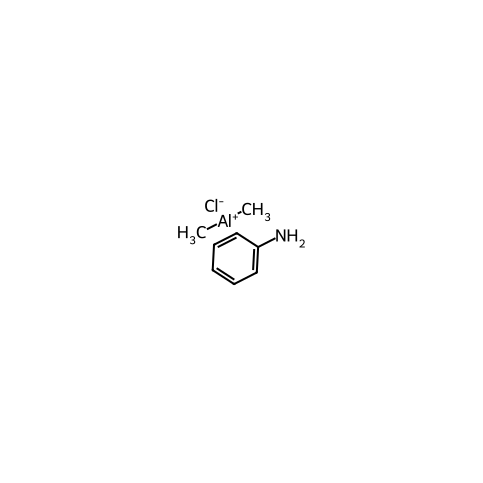 Nc1ccccc1.[CH3][Al+][CH3].[Cl-]